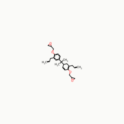 C=CCC1=C(OCC2CO2)C=CC(C(C)(C)c2ccc(OCC3CO3)c(CC=C)c2)C1